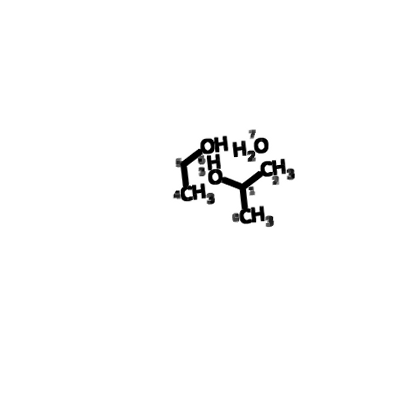 CC(C)O.CCO.O